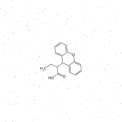 CCC(C(=O)O)C1c2ccccc2Oc2ccccc21